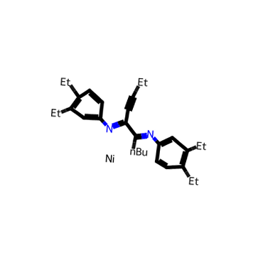 CCC#CC(=N\c1ccc(CC)c(CC)c1)/C(CCCC)=N/c1ccc(CC)c(CC)c1.[Ni]